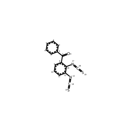 O=C(c1ccccc1)c1cccc(N=C=S)c1N=C=S